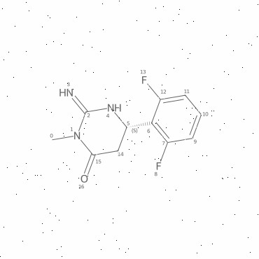 CN1C(=N)N[C@H](c2c(F)cccc2F)CC1=O